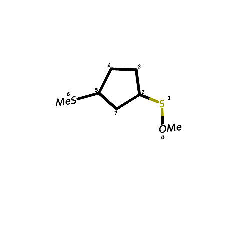 COSC1CCC(SC)C1